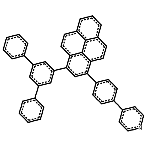 c1ccc(-c2cc(-c3ccccc3)cc(-c3cc(-c4ccc(-c5ccncc5)cc4)c4ccc5cccc6ccc3c4c56)c2)cc1